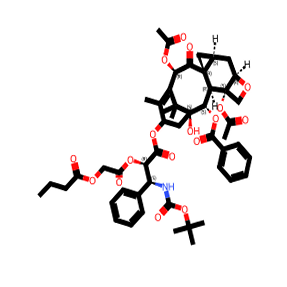 CCCC(=O)OCC(=O)O[C@@H](C(=O)OC1C[C@@]2(O)[C@@H](OC(=O)c3ccccc3)[C@@H]3[C@]4(OC(C)=O)CO[C@@H]4C[C@@H]4C[C@@]43C(=O)[C@H](OC(C)=O)C(=C1C)C2(C)C)[C@@H](NC(=O)OC(C)(C)C)c1ccccc1